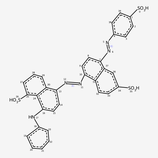 O=S(=O)(O)c1ccc(/N=N/c2ccc(/N=N/c3ccc(Nc4ccccc4)c4c(S(=O)(=O)O)cccc34)c3ccc(S(=O)(=O)O)cc23)cc1